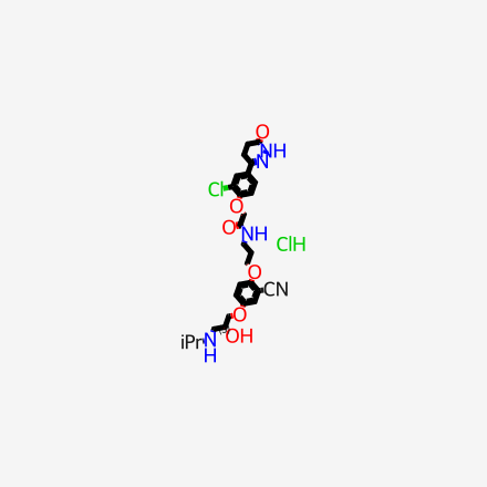 CC(C)NC[C@H](O)COc1ccc(OCCCNC(=O)COc2ccc(C3=NNC(=O)CC3)cc2Cl)c(C#N)c1.Cl